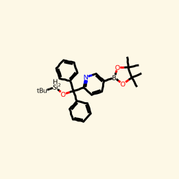 CC(C)(C)[SiH2]OC(c1ccccc1)(c1ccccc1)c1ccc(B2OC(C)(C)C(C)(C)O2)cn1